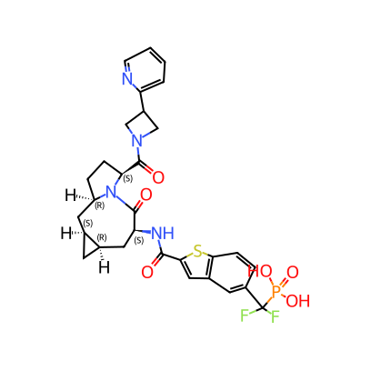 O=C(N[C@H]1C[C@H]2C[C@H]2C[C@H]2CC[C@@H](C(=O)N3CC(c4ccccn4)C3)N2C1=O)c1cc2cc(C(F)(F)P(=O)(O)O)ccc2s1